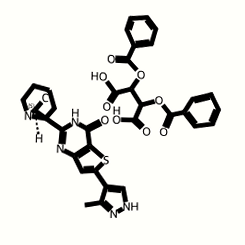 Cc1n[nH]cc1-c1cc2nc([C@@H]3CC4CCN3CC4)[nH]c(=O)c2s1.O=C(OC(C(=O)O)C(OC(=O)c1ccccc1)C(=O)O)c1ccccc1